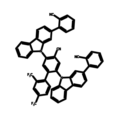 N#Cc1ccccc1-c1ccc2c3ccccc3n(-c3cc(-c4ccc(C(F)(F)F)cc4C(F)(F)F)c(-n4c5ccccc5c5ccc(-c6ccccc6C#N)cc54)cc3C#N)c2c1